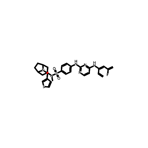 C=C/C(=C\C(=C)F)Nc1ccnc(Nc2ccc(S(=O)(=O)N(C)C3CC4CCC(C3)N4Cc3ccsc3)cc2)n1